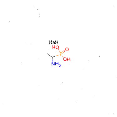 CC(N)P(=O)(O)O.[NaH]